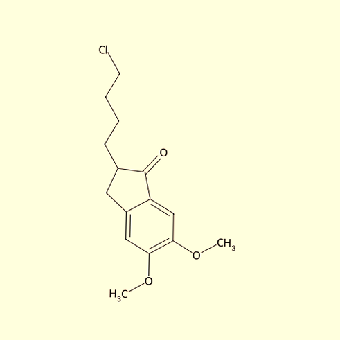 COc1cc2c(cc1OC)C(=O)C(CCCCCl)C2